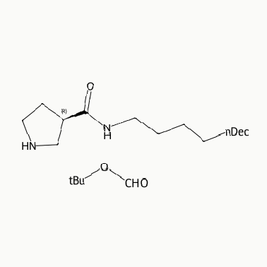 CC(C)(C)OC=O.CCCCCCCCCCCCCCNC(=O)[C@@H]1CCNC1